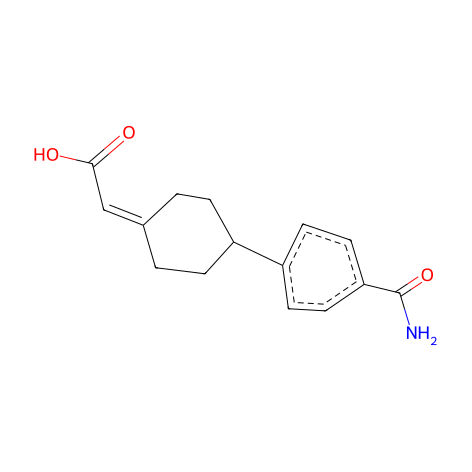 NC(=O)c1ccc(C2CCC(=CC(=O)O)CC2)cc1